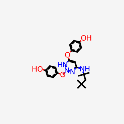 CC(C)(C)CC(C)(C)NC1=NN(Oc2ccc(O)cc2)NC(Oc2ccc(O)cc2)=C1